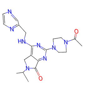 CC(=O)N1CCN(c2nc(NCc3cnccn3)c3c(n2)C(=O)N(C(C)C)C3)CC1